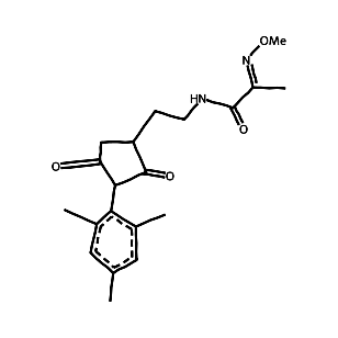 CON=C(C)C(=O)NCCC1CC(=O)C(c2c(C)cc(C)cc2C)C1=O